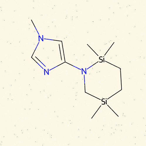 Cn1cnc(N2C[Si](C)(C)CC[Si]2(C)C)c1